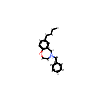 CCCCc1ccc2c(c1)CN(Cc1ccccc1)CCO2